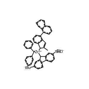 CC1=Cc2c(-c3cccc4ccccc34)cccc2[CH]1[Zr+2](=[C](c1ccccc1)c1ccccc1)[CH]1c2cc(C(C)(C)C)ccc2-c2ccc(C(C)(C)C)cc21.[Cl-].[Cl-]